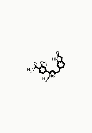 Cc1cc(-c2cc(Cc3ccc4c(c3)NC(=O)C4)nn2C)ccc1C(N)=O